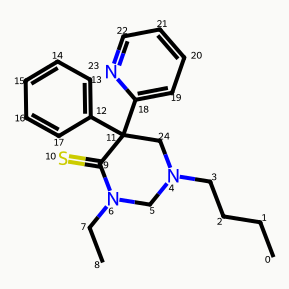 CCCCN1CN(CC)C(=S)C(c2ccccc2)(c2ccccn2)C1